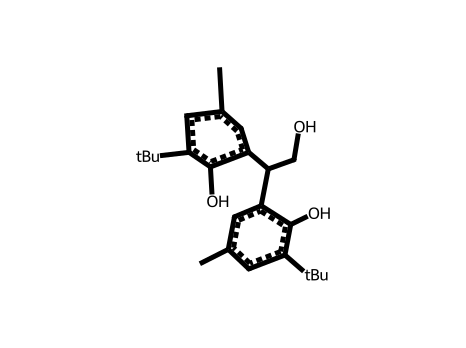 Cc1cc(C(CO)c2cc(C)cc(C(C)(C)C)c2O)c(O)c(C(C)(C)C)c1